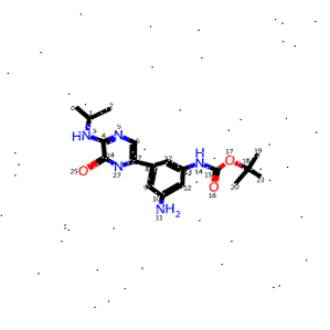 CC(C)NC1=NC=C(c2cc(N)cc(NC(=O)OC(C)(C)C)c2)[N]C1=O